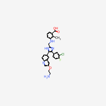 Cc1c(NCc2nc(-c3ccc(F)c(Cl)c3)c(-c3ccc4ncc(OCCN)cc4c3)[nH]2)cccc1C(=O)O